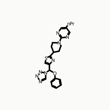 CCCc1cnc(N2CCC(c3nc(C(Oc4ccccc4)n4cnnn4)cs3)CC2)nc1